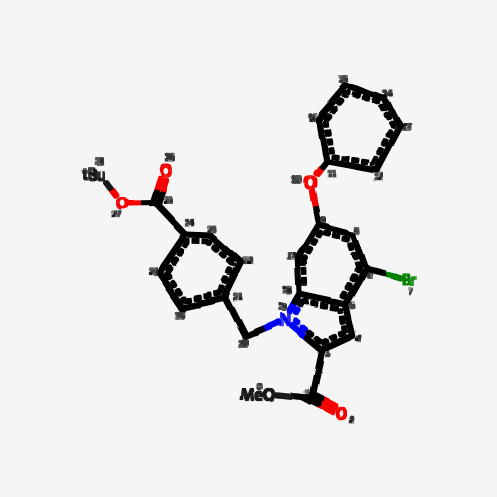 COC(=O)c1cc2c(Br)cc(Oc3ccccc3)cc2n1Cc1ccc(C(=O)OC(C)(C)C)cc1